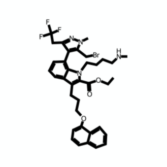 CCOC(=O)c1c(CCCOc2cccc3ccccc23)c2cccc(-c3c(CC(F)(F)F)nn(C)c3CBr)c2n1CCCCNC